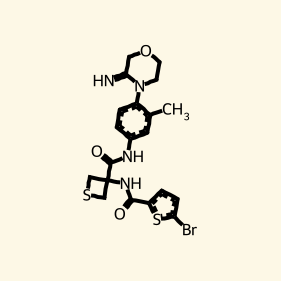 Cc1cc(NC(=O)C2(NC(=O)c3ccc(Br)s3)CSC2)ccc1N1CCOCC1=N